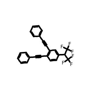 FC(F)(F)C(c1ccc(C#Cc2ccccc2)c(C#Cc2ccccc2)c1)C(F)(F)F